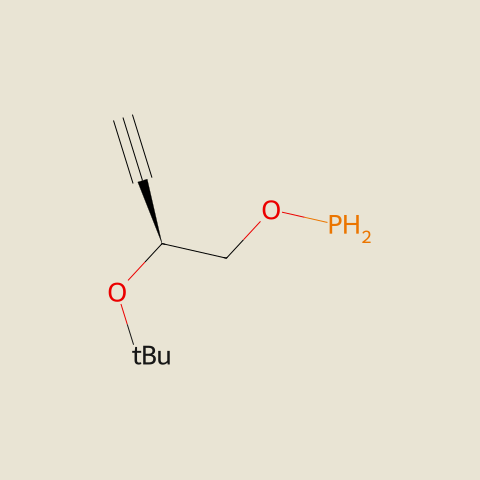 C#C[C@@H](COP)OC(C)(C)C